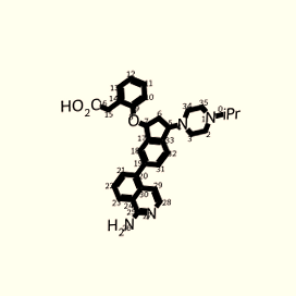 CC(C)N1CCN(C2CC(Oc3ccccc3CC(=O)O)c3cc(-c4cccc5c(N)nccc45)ccc32)CC1